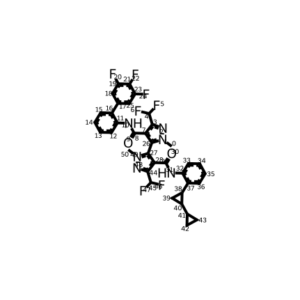 Cn1nc(C(F)F)c(C(=O)Nc2ccccc2-c2cc(F)c(F)c(F)c2)c1-c1c(C(=O)Nc2ccccc2C2CC2C2CC2)c(C(F)F)nn1C